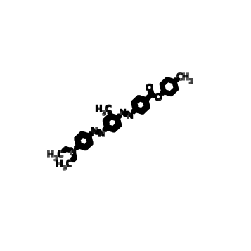 CCN(CC)c1ccc(N=Nc2ccc(N=Nc3ccc(C(=O)OC4CCC(C)CC4)cc3)c(C)c2)cc1